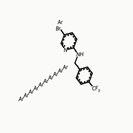 FC(F)(F)c1ccc(CNc2ccc(Br)cn2)cc1.[Ar].[Ar].[Ar].[Ar].[Ar].[Ar].[Ar].[Ar].[Ar].[Ar].[Ar]